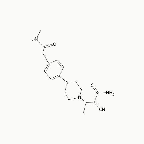 CC(=C(C#N)C(N)=S)N1CCN(c2ccc(CC(=O)N(C)C)cc2)CC1